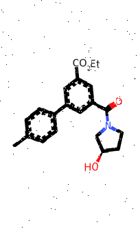 CCOC(=O)c1cc(C(=O)N2CC[C@@H](O)C2)cc(-c2ccc(C)cc2)c1